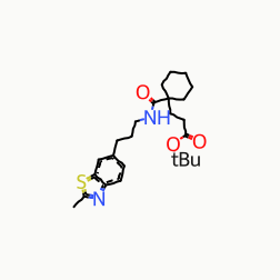 Cc1nc2ccc(CCCNC(=O)C3(CCC(=O)OC(C)(C)C)CCCCC3)cc2s1